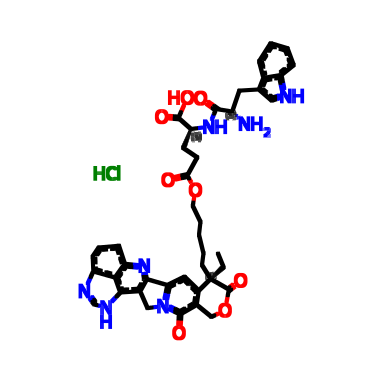 CC[C@@]1(CCCCCOC(=O)CC[C@H](NC(=O)[C@@H](N)Cc2c[nH]c3ccccc23)C(=O)O)C(=O)OCc2c1cc1n(c2=O)Cc2c-1nc1cccc3c1c2NC=N3.Cl